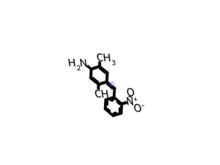 CC1=CC(N)C(C)=C/C1=C/c1ccccc1[N+](=O)[O-]